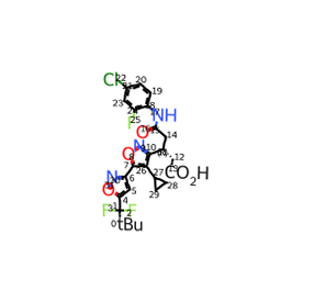 CC(C)(C)C(F)(F)c1cc(-c2onc([C@@H](CC(=O)O)CC(=O)Nc3ccc(Cl)cc3F)c2C2CC2)no1